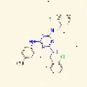 CC(C)(C)c1ccc(Nc2nc(NCc3ccccc3Cl)nc(NCc3ccccc3Cl)n2)cc1